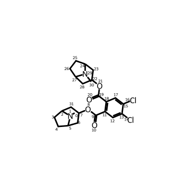 CN1C2CCC1CC(OC(=O)c1cc(Cl)c(Cl)cc1C(=O)OC1CC3CCC(C1)N3C)C2